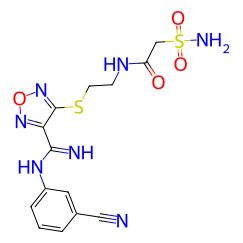 N#Cc1cccc(NC(=N)c2nonc2SCCNC(=O)CS(N)(=O)=O)c1